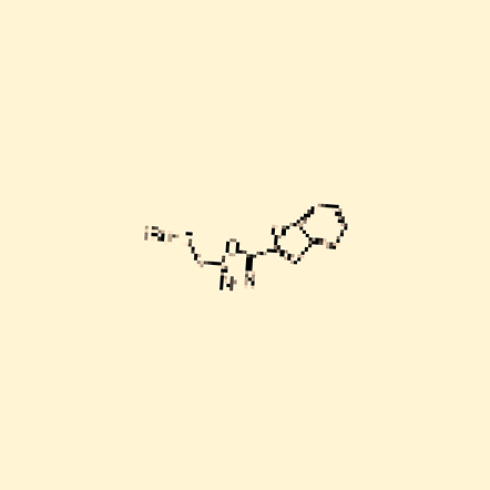 CCC(C)SSc1nnc(-c2cc3ccccc3o2)o1